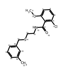 COc1cccc(Cl)c1C(=O)NCCSCc1cccc(C)c1